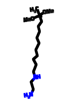 CO[Si](C)(CCCCCCCCCCNCCN)OC